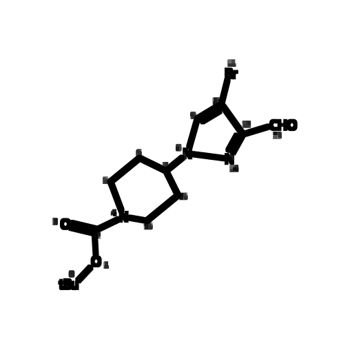 CC(C)(C)OC(=O)N1CCC(n2cc(Br)c(C=O)n2)CC1